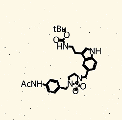 CC(=O)Nc1ccc(CN2CCN(Cc3ccc4[nH]cc(CCNC(=O)OC(C)(C)C)c4c3)S2(=O)=O)cc1